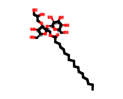 CCCCCCCCCCCCCCCCCC(=O)OC[C@@]1(O[C@H]2O[C@H](CO)[C@@H](O)[C@H](O)[C@H]2O)O[C@H](CO)[C@@H](O)[C@@H]1OCC(O)CO